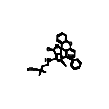 CCCCCCC(C)(C)CCNc1cc(C)c(Nc2ccccc2)c2c1C(=O)OC21c2ccccc2Oc2ccccc21